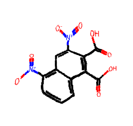 O=C(O)c1c([N+](=O)[O-])cc2c([N+](=O)[O-])cccc2c1C(=O)O